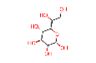 OCC(O)[C@H]1O[C@@H](O)[C@@H](O)[C@@H](O)[C@@H]1O